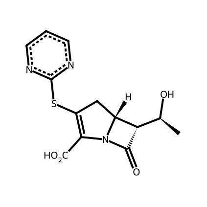 C[C@H](O)[C@@H]1C(=O)N2C(C(=O)O)=C(Sc3ncccn3)C[C@H]12